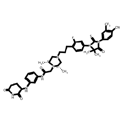 C[C@@H]1CN(CCCc2ccc(N3C(=S)N(c4ccc(C#N)c(C(F)(F)F)c4)C(=O)C3(C)C)cc2F)C[C@H](C)N1CC(=O)Nc1cccc(NC2CCC(=O)NC2=O)c1